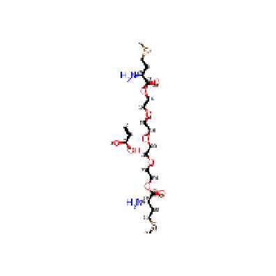 C=CC(=O)O.CSCC[C@H](N)C(=O)OCCOCCOCCOCCOC(=O)[C@@H](N)CCSC